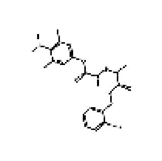 Cc1cc(OC(=O)N(C)SN(C)C(=O)OCc2ccccc2[N+](=O)[O-])cc(C)c1N(C)C